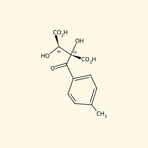 Cc1ccc(C(=O)[C@](O)(C(=O)O)[C@@H](O)C(=O)O)cc1